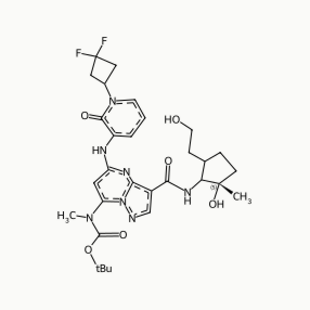 CN(C(=O)OC(C)(C)C)c1cc(Nc2cccn(C3CC(F)(F)C3)c2=O)nc2c(C(=O)NC3C(CCO)CC[C@]3(C)O)cnn12